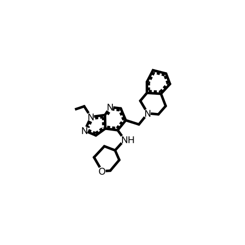 CCn1ncc2c(NC3CCOCC3)c(CN3CCc4ccccc4C3)cnc21